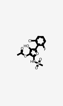 CC(=O)Oc1c(NS(C)(=O)=O)oc(-c2c(F)cccc2Cl)c1O